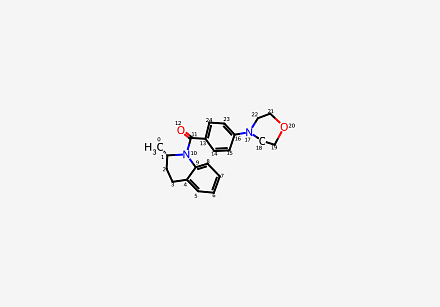 C[C@H]1CCc2ccccc2N1C(=O)c1ccc(N2CCOCC2)cc1